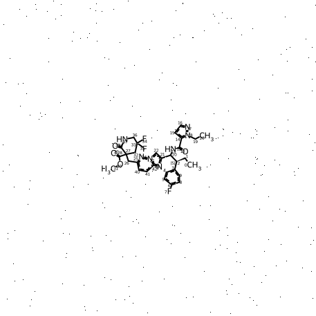 CC[C@@H](c1ccc(F)cc1)C(NC(=O)c1ccnn1CC)c1cn2nc(CC3(C(=O)OC)CC(F)(F)CNC3=O)ccc2n1